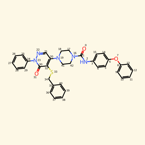 O=C(Nc1ccc(Oc2ccccc2)cc1)N1CCN(c2cnn(-c3ccccc3)c(=O)c2SCc2ccccc2)CC1